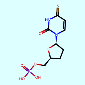 O=c1[nH]c(=S)ccn1[C@H]1CC[C@@H](COP(=O)(O)O)O1